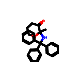 CC1(NC(c2ccccc2)(c2ccccc2)c2ccccc2)OCCCC1=O